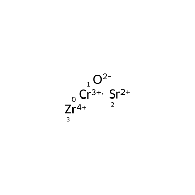 [Cr+3].[O-2].[Sr+2].[Zr+4]